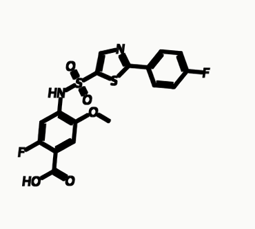 COc1cc(C(=O)O)c(F)cc1NS(=O)(=O)c1cnc(-c2ccc(F)cc2)s1